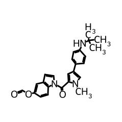 Cn1cc(-c2ccc(NC(C)(C)C)cc2)cc1C(=O)n1ccc2cc(OC=O)ccc21